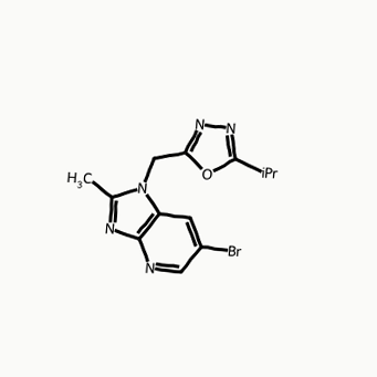 Cc1nc2ncc(Br)cc2n1Cc1nnc(C(C)C)o1